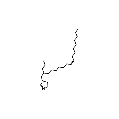 CCCCCCCC/C=C\CCCCCCC(CCC)CN1C=NCC1